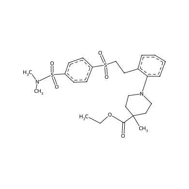 CCOC(=O)C1(C)CCN(c2ccccc2CCS(=O)(=O)c2ccc(S(=O)(=O)N(C)C)cc2)CC1